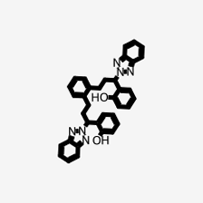 Oc1ccccc1C(CCc1ccccc1CCC(c1ccccc1O)n1nc2ccccc2n1)n1nc2ccccc2n1